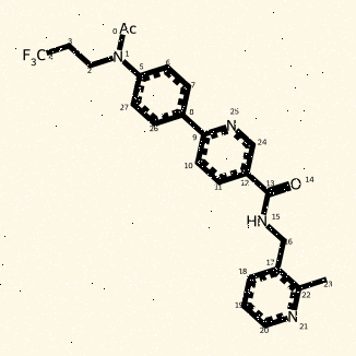 CC(=O)N(CCC(F)(F)F)c1ccc(-c2ccc(C(=O)NCc3cccnc3C)cn2)cc1